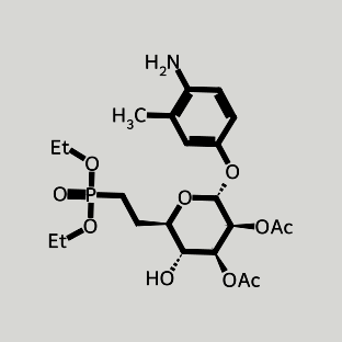 CCOP(=O)(CC[C@H]1O[C@H](Oc2ccc(N)c(C)c2)[C@@H](OC(C)=O)[C@@H](OC(C)=O)[C@@H]1O)OCC